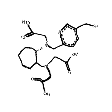 O=C(O)CN(CC(=O)O)C1CCCC[C@@H]1N(CC(=O)O)Cc1ccc(CO)cn1